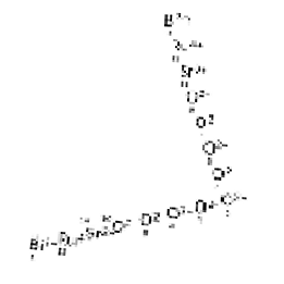 [Bi+3].[Bi+3].[O-2].[O-2].[O-2].[O-2].[O-2].[O-2].[O-2].[O-2].[O-2].[Ru+4].[Ru+4].[Sr+2].[Sr+2]